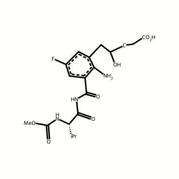 COC(=O)N[C@H](C(=O)NC(=O)c1cc(F)cc(CC(O)CCC(=O)O)c1N)C(C)C